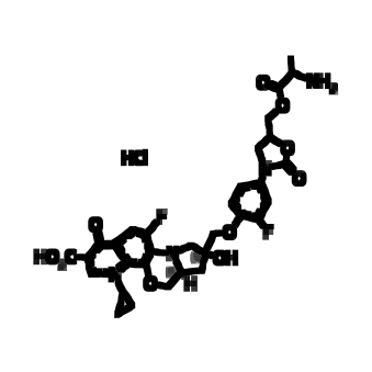 CC(N)C(=O)OCC1CN(c2ccc(OC[C@]3(O)C[C@H]4COc5c(c(F)cc6c(=O)c(C(=O)O)cn(C7CC7)c56)N4C3)c(F)c2)C(=O)O1.Cl